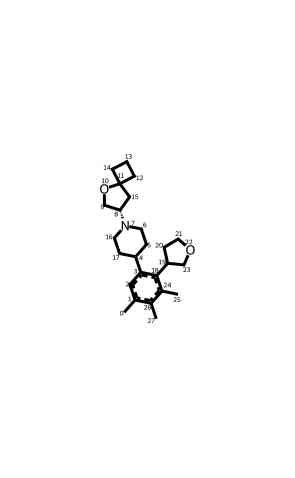 Cc1cc(C2CCN([C@@H]3COC4(CCC4)C3)CC2)c(C2CCOC2)c(C)c1C